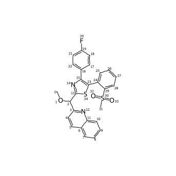 COC(c1ccc2ccccc2n1)c1nc(-c2ccc(F)cc2)c(-c2ccccc2S(C)(=O)=O)s1